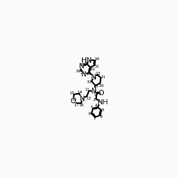 O=C(CNc1ccccc1)N(CCN1CCOCC1)C1CCCN(c2ncnc3[nH]ccc23)C1